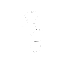 O=C(N[C@@H]1CCNC1)c1ccccc1F